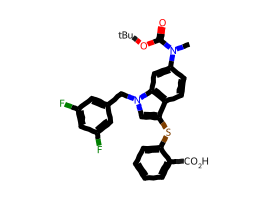 CN(C(=O)OC(C)(C)C)c1ccc2c(Sc3ccccc3C(=O)O)cn(Cc3cc(F)cc(F)c3)c2c1